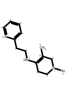 CC(=O)N1CCC(NCCc2ccccn2)=C(C)C1